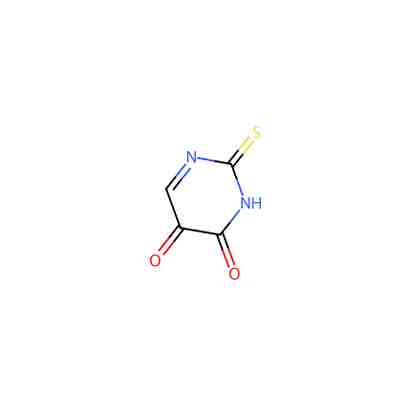 O=C1C=NC(=S)NC1=O